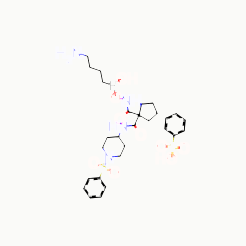 NCCCCB(O)ONC(=O)C1(C(=O)NC2CCN(S(=O)(=O)c3ccccc3)CC2)CCCC1.O=S(=O)(O)c1ccccc1